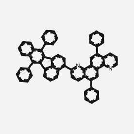 c1ccc(-c2c3c(c(-c4ccccc4)c4ccccc24)-c2ccc(-c4ccc5c(-c6ccccc6)cc6c(cc(-c7ccccc7)c7cccnc76)c5n4)c4cccc-3c24)cc1